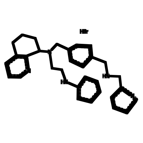 Br.c1ccc(NCCN(Cc2ccc(CNCc3ccccn3)cc2)C2CCCc3cccnc32)cc1